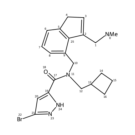 CNCC1=CCc2cccc(CN(CC3CCC3)C(=O)c3cc(Br)n[nH]3)c21